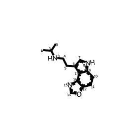 CC(C)NCCc1c[nH]c2ccc3ocnc3c12